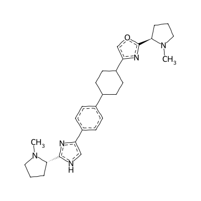 CN1CCC[C@@H]1c1nc(C2CCC(c3ccc(-c4c[nH]c([C@@H]5CCCN5C)n4)cc3)CC2)co1